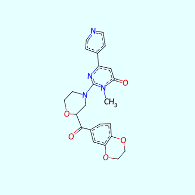 Cn1c(N2CCOC(C(=O)c3ccc4c(c3)OCCO4)C2)nc(-c2ccncc2)cc1=O